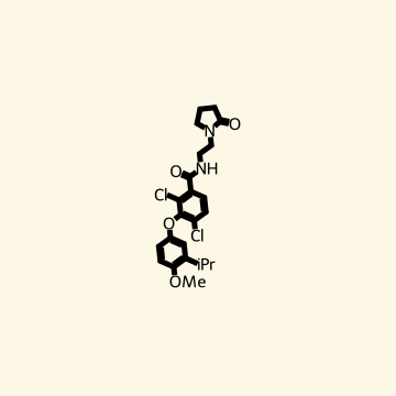 COc1ccc(Oc2c(Cl)ccc(C(=O)NCCN3CCCC3=O)c2Cl)cc1C(C)C